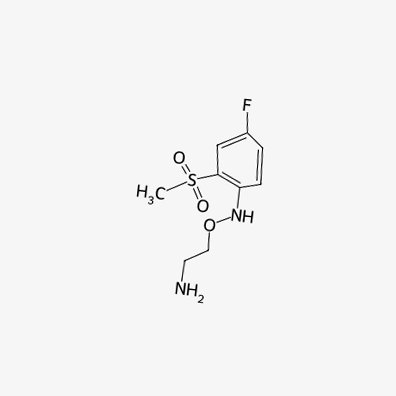 CS(=O)(=O)c1cc(F)ccc1NOCCN